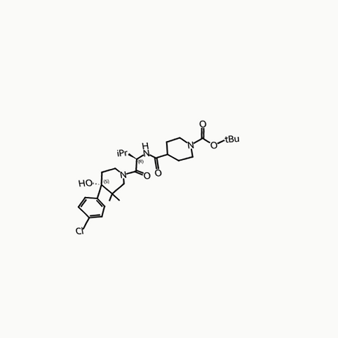 CC(C)[C@@H](NC(=O)C1CCN(C(=O)OC(C)(C)C)CC1)C(=O)N1CC[C@](O)(c2ccc(Cl)cc2)C(C)(C)C1